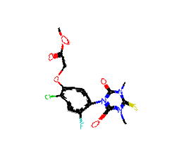 COC(=O)COc1cc(-n2c(=O)n(C)c(=S)n(C)c2=O)c(F)cc1Cl